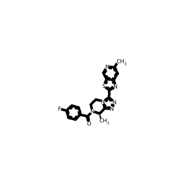 Cc1cc2nc(-c3nnc4n3CCN(C(=O)c3ccc(F)cc3)[C@@H]4C)sc2cn1